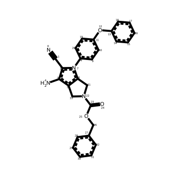 N#Cc1c(N)c2c(n1-c1ccc(Oc3ccccc3)cc1)CN(C(=O)OCc1ccccc1)C2